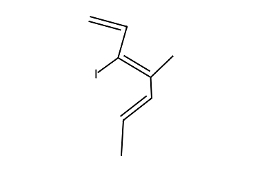 C=C/C(I)=C(C)/C=C/C